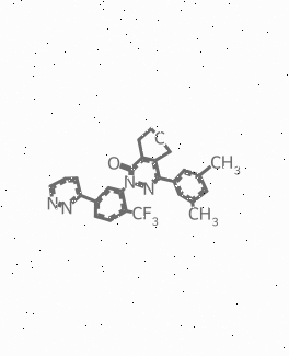 Cc1cc(C)cc(-c2nn(-c3cc(-c4cccnn4)ccc3C(F)(F)F)c(=O)c3c2CCCC3)c1